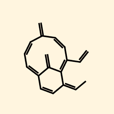 C=Cc1ccc(=C)cccc2cc/c(=C/C)c1c2=C